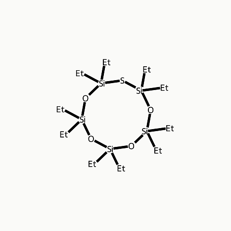 CC[Si]1(CC)O[Si](CC)(CC)O[Si](CC)(CC)S[Si](CC)(CC)O[Si](CC)(CC)O1